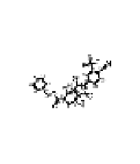 C[C@@]12O[C@@](C)(C[C@H]1C(=O)OCc1ccncc1)[C@H]1C(=O)N(c3ccc(C#N)c(C(F)(F)F)c3)C(=O)[C@H]12